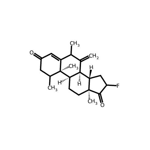 C=C1C(C)C2=CC(=O)CC(C)[C@]2(C)[C@@H]2CC[C@]3(C)C(=O)C(F)C[C@H]3[C@H]12